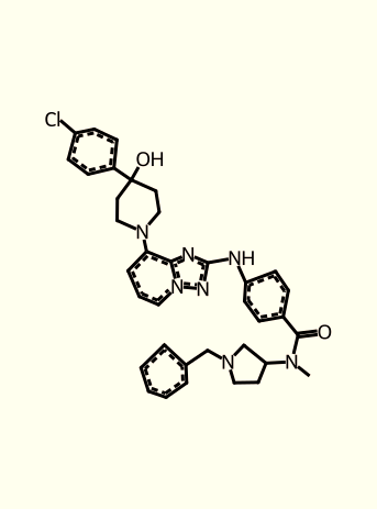 CN(C(=O)c1ccc(Nc2nc3c(N4CCC(O)(c5ccc(Cl)cc5)CC4)cccn3n2)cc1)C1CCN(Cc2ccccc2)C1